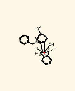 COc1ccc([C@]2(O)C[C@H]3c4ccccc4[C@@H]2C[C@H]3CN(C)Cc2ccccc2)cc1